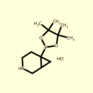 CC1(C)OB(C23CCNCC2C3)OC1(C)C.Cl